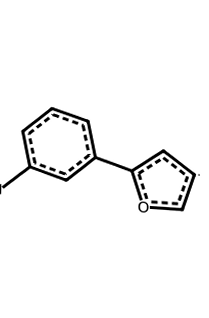 Ic1cccc(-c2c[c]co2)c1